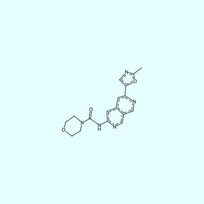 Cc1ncc(-c2cc3cc(NC(=O)N4CCOCC4)ncc3cn2)o1